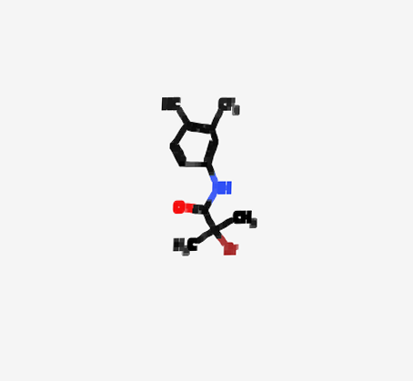 CC(C)(Br)C(=O)Nc1ccc(C#N)c(C(F)(F)F)c1